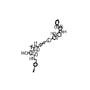 C#Cc1ccc(CNC(=O)[C@@H]2C[C@@H](O)CN2C(=O)[C@@H](NC(=O)N2CC3(CC(N4CCC(c5cnc(N6CCc7[nH]c8nnc(-c9ccccc9O)cc8c7[C@H]6CO)nc5)CC4)C3)C2)C(C)(C)C)cc1